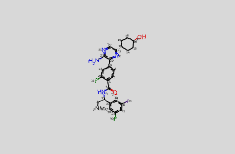 CNC[C@@H](NC(=O)c1ccc(-c2nc([C@H]3CC[C@H](O)CC3)cnc2N)cc1F)c1cc(F)cc(I)c1